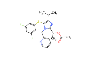 CC(=O)OC(C)c1nc(C(C)C)c(Sc2cc(F)cc(F)c2)n1Cc1ccccn1